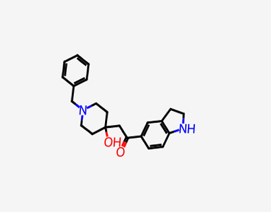 O=C(CC1(O)CCN(Cc2ccccc2)CC1)c1ccc2c(c1)CCN2